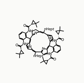 CCCCCCCc1c2nc(c(-c3c(NC(=O)[C@H]4CC4(C)C)cccc3NC(=O)[C@@H]3CC3(C)C)c3ccc([nH]3)c(CCCCCCC)c3nc(c(-c4c(NC(=O)[C@H]5CC5(C)C)cccc4NC(=O)[C@H]4CC4(C)C)c4ccc1[nH]4)CC3)C=C2